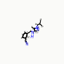 Cc1c(NCc2cccc(C#N)c2)cnn1CC(C)C